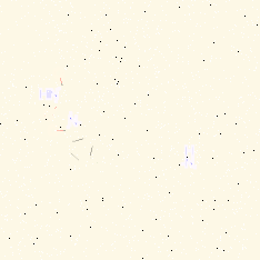 O=C1CCC(N2Cc3c(ccc(F)c3SCCCCCCCNC3CCCCC3)C2=O)C(=O)N1